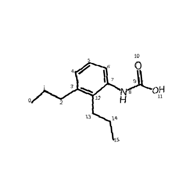 CCCc1cccc(NC(=O)O)c1CCC